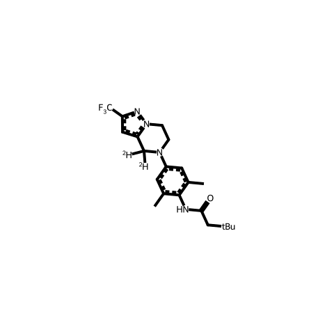 [2H]C1([2H])c2cc(C(F)(F)F)nn2CCN1c1cc(C)c(NC(=O)CC(C)(C)C)c(C)c1